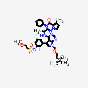 COCCS(=O)(=O)Nc1cc(F)cc(-c2cn(COCC[Si](C)(C)C)c3ncnc(NC(C)c4nn5ccc(C)c5c(=O)n4-c4ccccc4)c23)c1